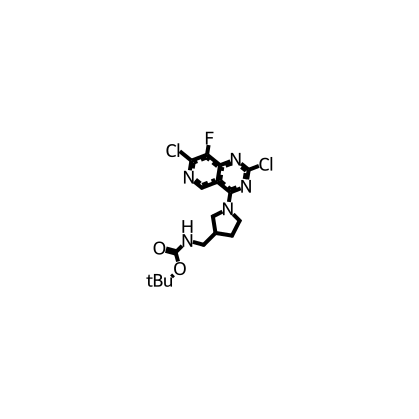 CC(C)(C)OC(=O)NCC1CCN(c2nc(Cl)nc3c(F)c(Cl)ncc23)C1